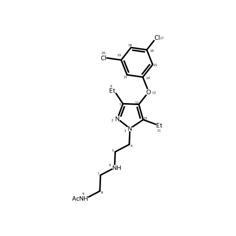 CCc1nn(CCNCCNC(C)=O)c(CC)c1Oc1cc(Cl)cc(Cl)c1